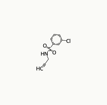 C#CCNS(=O)(=O)c1cccc(Cl)c1